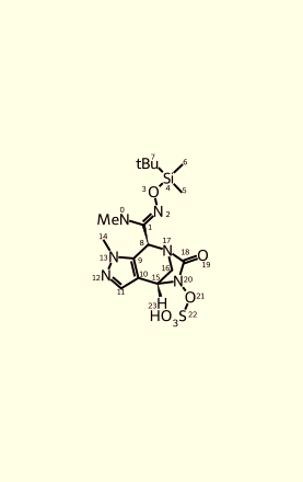 CN/C(=N\O[Si](C)(C)C(C)(C)C)[C@@H]1c2c(cnn2C)[C@@H]2CN1C(=O)N2OS(=O)(=O)O